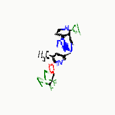 Cc1cc(Cn2cc3c(Cl)nccc3n2)cnc1OCC(F)(F)C(F)F